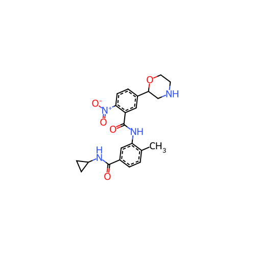 Cc1ccc(C(=O)NC2CC2)cc1NC(=O)c1cc(C2CNCCO2)ccc1[N+](=O)[O-]